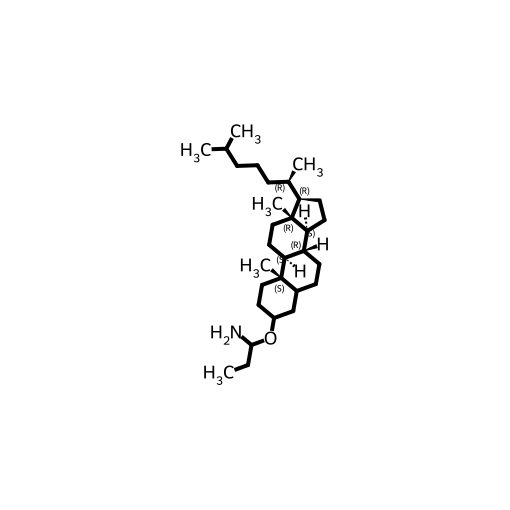 CCC(N)OC1CC[C@@]2(C)C(CC[C@H]3[C@@H]4CC[C@H]([C@H](C)CCCC(C)C)[C@@]4(C)CC[C@@H]32)C1